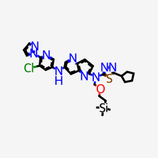 C[Si](C)(C)CCOCN(c1ccc2ncc(Nc3cnc(-n4cccn4)c(Cl)c3)cc2n1)c1nnc(C2CCCC2)s1